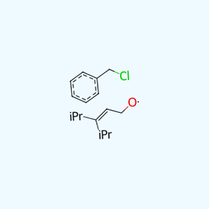 CC(C)C(=CC[O])C(C)C.ClCc1ccccc1